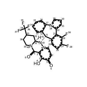 O=C1c2c(O)c(=O)ccn2N([C@@H]2c3ccccc3-n3cccc3-c3c2ccc(F)c3F)[C@@H]2CC(C(F)(F)F)CCN12